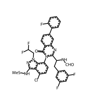 CSNc1nn(CC(F)F)c2c(-n3c(C(Cc4cc(F)cc(F)c4)NC=O)nc4cc(-c5ccccc5F)ccc4c3=O)ccc(Cl)c12